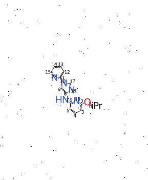 CC(C)Oc1cccc(Nc2cn(-c3ccccn3)cn2)n1